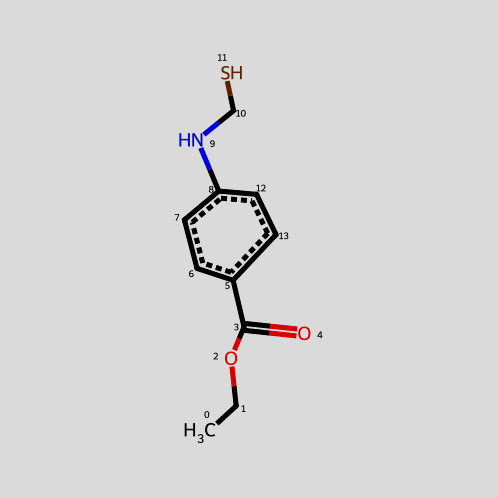 CCOC(=O)c1ccc(NCS)cc1